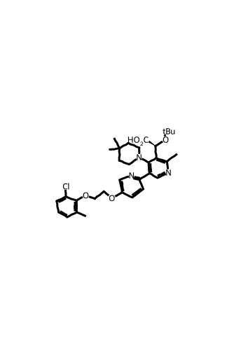 Cc1cccc(Cl)c1OCCOc1ccc(-c2cnc(C)c([C@H](OC(C)(C)C)C(=O)O)c2N2CCC(C)(C)CC2)nc1